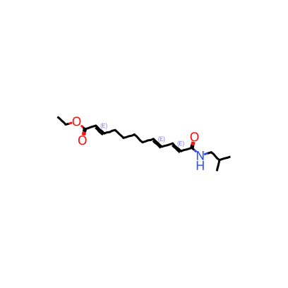 CCOC(=O)/C=C/CCCC/C=C/C=C/C(=O)NCC(C)C